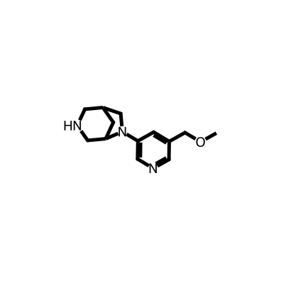 COCc1cncc(N2CC3CNCC2C3)c1